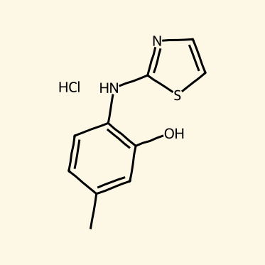 Cc1ccc(Nc2nccs2)c(O)c1.Cl